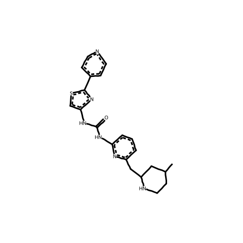 CC1CCNC(Cc2cccc(NC(=O)Nc3csc(-c4ccncc4)n3)n2)C1